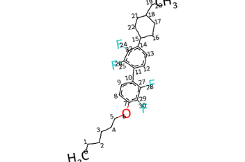 CCCCCCOc1ccc(-c2ccc(C3CCC(CC)CC3)c(F)c2F)c(F)c1F